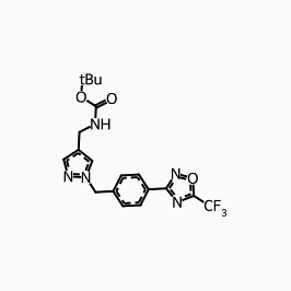 CC(C)(C)OC(=O)NCc1cnn(Cc2ccc(-c3noc(C(F)(F)F)n3)cc2)c1